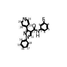 O=C(Nc1cccc(F)c1)c1cn(-c2ccccc2)nc1-c1ccncc1